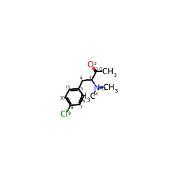 CC(=O)C(Cc1ccc(Cl)cc1)N(C)C